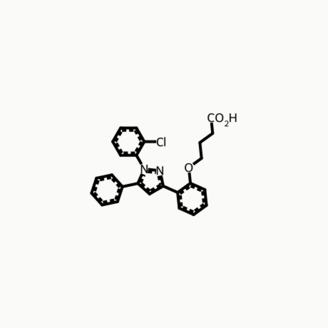 O=C(O)CCCOc1ccccc1-c1cc(-c2ccccc2)n(-c2ccccc2Cl)n1